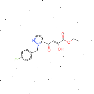 CCOC(=O)C(O)=CC(=O)c1ccnn1Cc1ccc(F)cc1